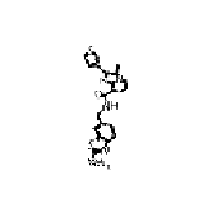 Cc1c(-c2ccsc2)nc2c(C(=O)NCc3ccc4nc(N)sc4c3)cccn12